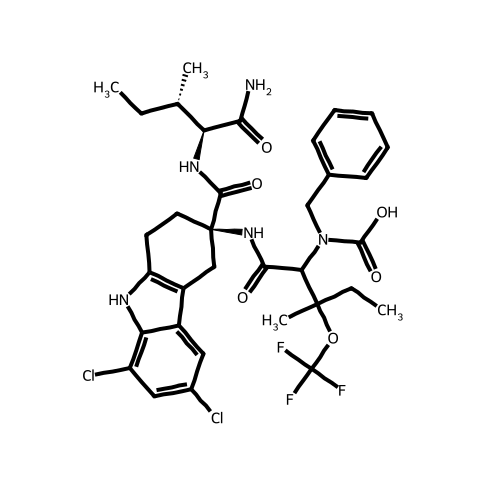 CC[C@H](C)[C@H](NC(=O)[C@@]1(NC(=O)C(N(Cc2ccccc2)C(=O)O)C(C)(CC)OC(F)(F)F)CCc2[nH]c3c(Cl)cc(Cl)cc3c2C1)C(N)=O